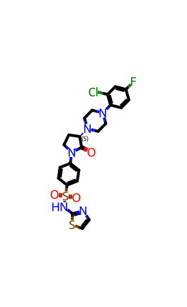 O=C1[C@@H](N2CCN(c3ccc(F)cc3Cl)CC2)CCN1c1ccc(S(=O)(=O)Nc2nccs2)cc1